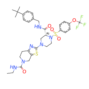 CCNC(=O)N1CCc2nc(N3CCN(S(=O)(=O)c4ccc(OC(F)(F)F)cc4)[C@@H](C(=O)NCc4ccc(C(C)(C)C)cc4)C3)sc2C1